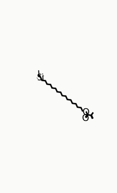 C=C(C)C(=O)OCCCCCCCCCCCCCCCCC[Si](C)(C)I